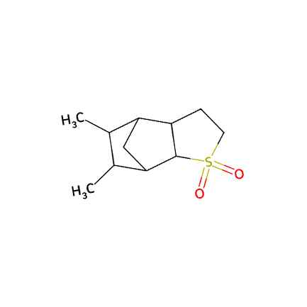 CC1C(C)C2CC1C1CCS(=O)(=O)C21